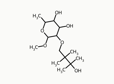 COC1OC(C)C(O)C(O)C1OCC(C)(C)C(C)(C)O